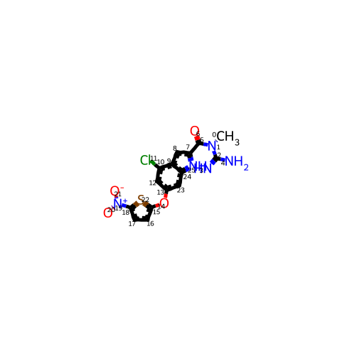 CN(C(=N)N)C(=O)c1cc2c(Cl)cc(Oc3ccc([N+](=O)[O-])s3)cc2[nH]1